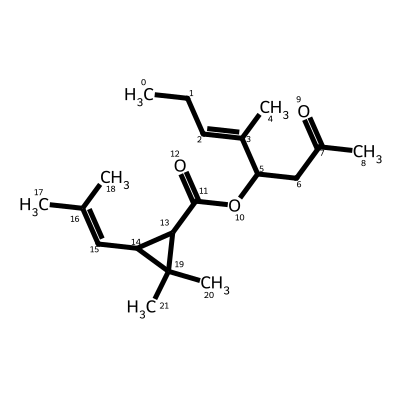 CCC=C(C)C(CC(C)=O)OC(=O)C1C(C=C(C)C)C1(C)C